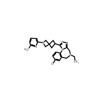 Cc1cccc(N2CC3(CC(c4nnc5n4-c4ccc(Cl)cc4CN(CC(F)(F)F)C5)C3)C2)n1